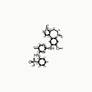 COc1cc2c(cc1Nc1ncc(C)c(Nc3ccccc3P(C)(C)=O)n1)-c1cnn(C)c1CCN2C